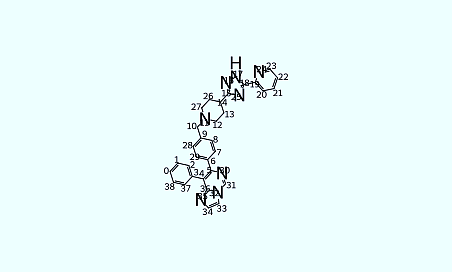 c1ccc(-c2c(-c3ccc(CN4CCC(c5n[nH]c(-c6ccccn6)n5)CC4)cc3)ncn3ccnc23)cc1